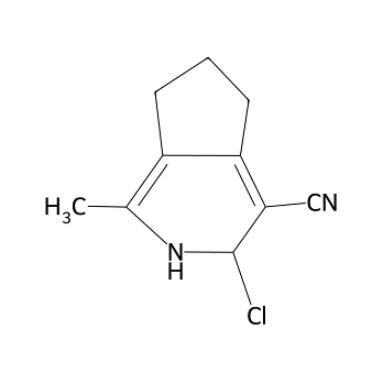 CC1=C2CCCC2=C(C#N)C(Cl)N1